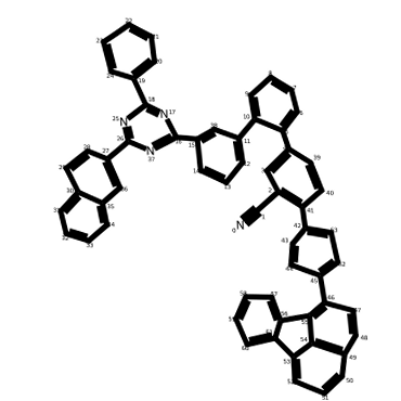 N#Cc1cc(-c2ccccc2-c2cccc(-c3nc(-c4ccccc4)nc(-c4ccc5ccccc5c4)n3)c2)ccc1-c1ccc(-c2ccc3cccc4c3c2-c2ccccc2-4)cc1